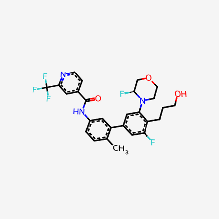 Cc1ccc(NC(=O)c2ccnc(C(F)(F)F)c2)cc1-c1cc(F)c(CCCO)c(N2CCOC[C@@H]2F)c1